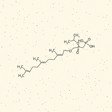 CC(C)=CCC/C(C)=C/CC/C(C)=C/COCP(=O)(CP(=O)(O)O)OC(C)C